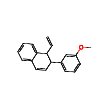 C=CC1c2ccccc2C=CC1c1cccc(OC)c1